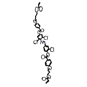 C=CC(=O)OCCCOc1ccc(C(=O)Oc2cc(Cl)c(/N=C/c3ccc(OC(=O)c4ccc(OCCCOC(=O)C=C)cc4)c(Cl)c3)c(Cl)c2)cc1